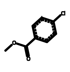 COC(=O)c1c[c]c(Cl)cc1